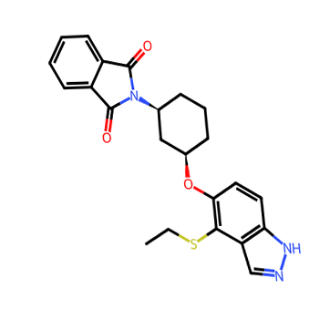 CCSc1c(O[C@@H]2CCC[C@H](N3C(=O)c4ccccc4C3=O)C2)ccc2[nH]ncc12